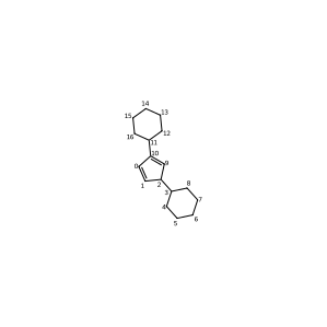 C1=CC(C2CCCCC2)C=C1C1CCCCC1